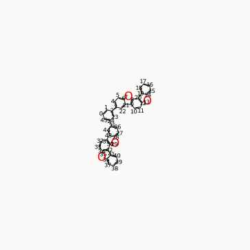 c1cc(-c2ccc3oc4c(ccc5oc6ccccc6c54)c3c2)cc(-c2ccc3oc4c(ccc5oc6ccccc6c54)c3c2)c1